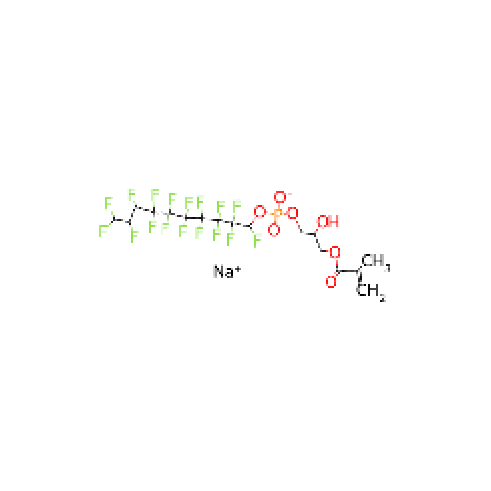 C=C(C)C(=O)OCC(O)COP(=O)([O-])OC(F)C(F)(F)C(F)(F)C(F)(F)C(F)(F)C(F)(F)C(F)(F)C(F)C(F)C(F)F.[Na+]